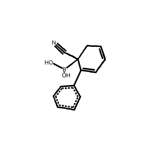 N#CC1(B(O)O)CC=CC=C1c1ccccc1